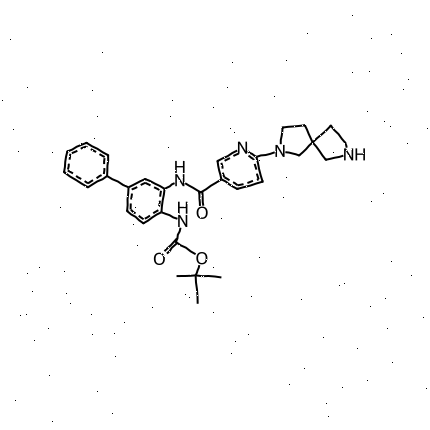 CC(C)(C)OC(=O)Nc1ccc(-c2ccccc2)cc1NC(=O)c1ccc(N2CCC3(CCNC3)C2)nc1